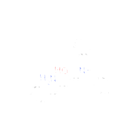 N[C@@H](Cc1ccccc1)C[C@H](O)CN(Cc1ccccc1)Cc1ccccc1